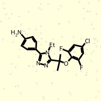 CCn1c(-c2ccc(N)cc2)nnc1C(C)(C)Oc1c(F)cc(Cl)cc1F